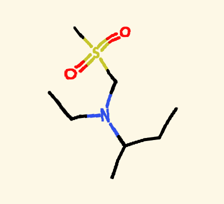 CCC(C)N(CC)CS(C)(=O)=O